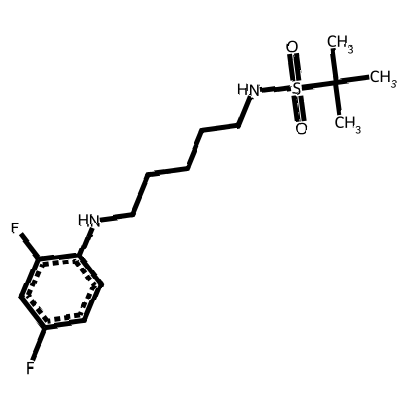 CC(C)(C)S(=O)(=O)NCCCCCNc1ccc(F)cc1F